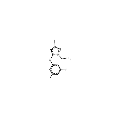 Fc1cc(F)cc(Oc2nc(I)nn2CC(F)(F)F)c1